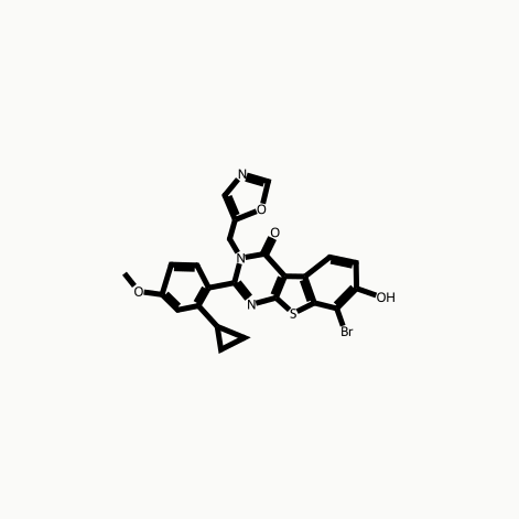 COc1ccc(-c2nc3sc4c(Br)c(O)ccc4c3c(=O)n2Cc2cnco2)c(C2CC2)c1